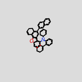 C1=CCC(N(c2ccccc2C2=CCCC=C2)c2cccc3oc4c5c(c(-c6ccc7ccccc7c6)cc4c23)CCC=C5)C=C1